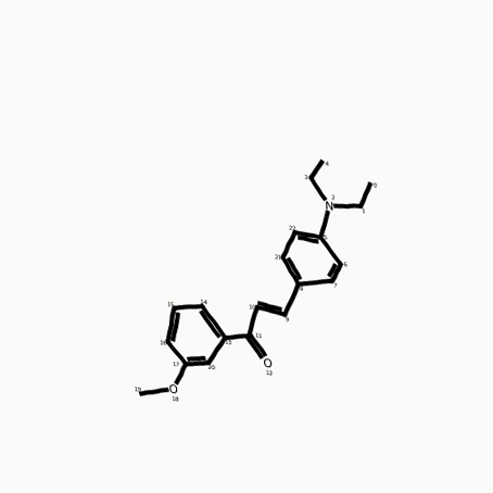 CCN(CC)c1ccc(C=CC(=O)c2cccc(OC)c2)cc1